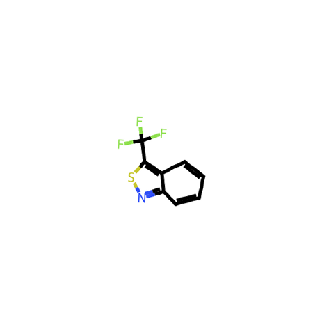 FC(F)(F)c1snc2ccccc12